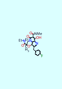 CCN(CC)C(=O)[C@@]1(C)Cn2c(=O)c(C(=O)NC)c(O)c3ncc(Cc4ccc(F)cc4)c(c32)O1